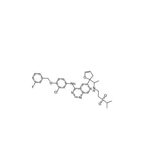 CC(NCCS(=O)(=O)C(C)C)C1(c2cc3c(Nc4ccc(OCc5cccc(F)c5)c(Cl)c4)ncnc3cn2)CC=CO1